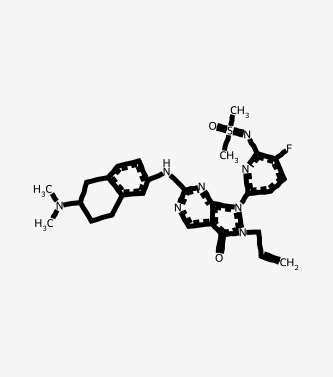 C=CCn1c(=O)c2cnc(Nc3ccc4c(c3)CCC(N(C)C)C4)nc2n1-c1ccc(F)c(N=S(C)(C)=O)n1